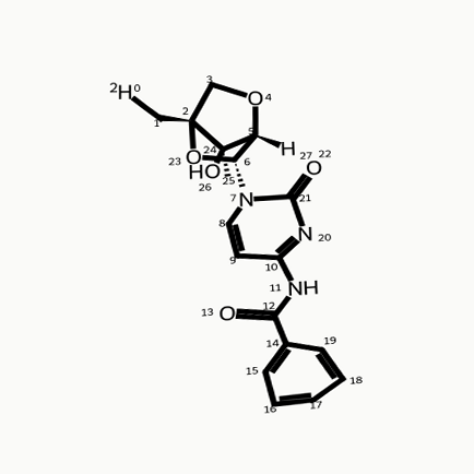 [2H]C[C@]12CO[C@H]([C@H](n3ccc(NC(=O)c4ccccc4)nc3=O)O1)[C@@]2(C)O